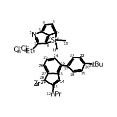 CCC1=NC2=CC=C3C2=C1[Si]3(C)C.CCCC1=Cc2c(-c3ccc(C(C)(C)C)cc3)cccc2[CH]1[Zr+2].[Cl-].[Cl-]